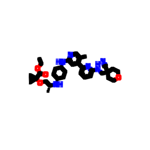 CCOC(=O)C1(OC[C@@H](C)N[C@H]2CC[C@H](Nc3cc(-c4cccc(NCC5(C#N)CCOCC5)n4)c(C)cn3)CC2)CC1